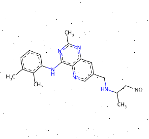 Cc1nc(Nc2cccc(C)c2C)c2ncc(CNC(C)CN=O)cc2n1